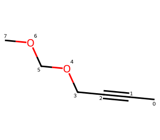 CC#CCOCOC